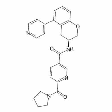 O=C(N[C@@H]1COc2cccc(-c3ccncc3)c2C1)c1ccc(C(=O)N2CCCC2)nc1